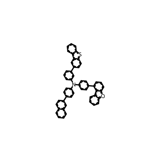 c1cc(-c2ccc3sc4ccccc4c3c2)cc(N(c2ccc(-c3ccc4ccccc4c3)cc2)c2ccc(-c3cccc4oc5ccccc5c34)cc2)c1